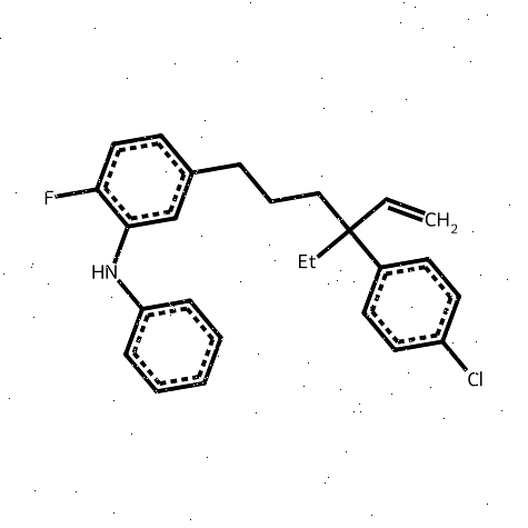 C=CC(CC)(CCCc1ccc(F)c(Nc2ccccc2)c1)c1ccc(Cl)cc1